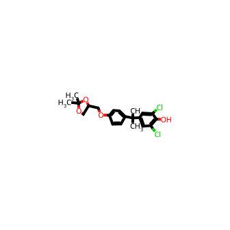 CC1(C)OCC(COc2ccc(C(C)(C)c3cc(Cl)c(O)c(Cl)c3)cc2)O1